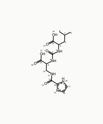 CC(C)CC(NC(=O)NC(CNC(=O)c1ncc[nH]1)C(=O)O)C(=O)O